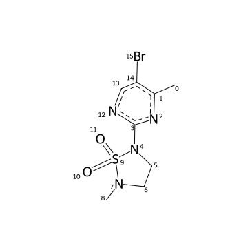 Cc1nc(N2CCN(C)S2(=O)=O)ncc1Br